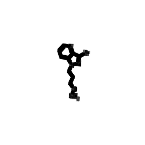 COCCCn1nc(Br)c2ncccc21